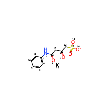 O=C(CC(=O)Nc1ccccc1)CS(=O)(=O)[O-].[K+]